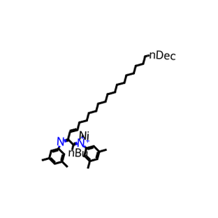 CCCCCCCCCCCCCCCCCCCCCCCCCC=CC(=Nc1cc(C)cc(C)c1)C(CCCC)=[N+]([Ni])c1cc(C)cc(C)c1